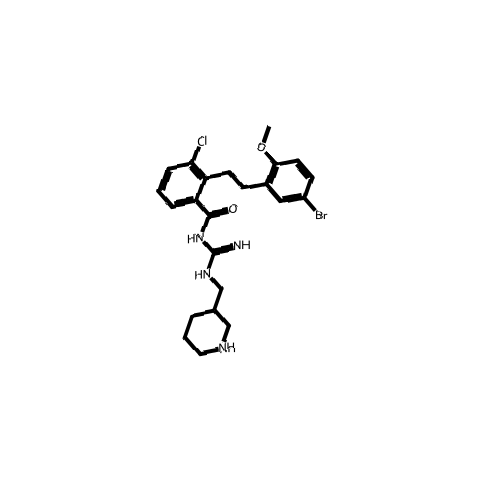 COc1ccc(Br)cc1CCc1c(Cl)cccc1C(=O)NC(=N)NCC1CCCNC1